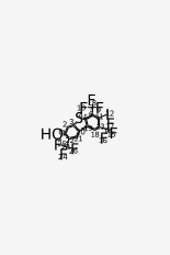 Oc1cc2sc3c(C(F)(F)F)c(I)c(C(F)(F)F)cc3c2cc1C(F)(F)F